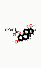 CCCCCC(=O)Oc1cc(O)cc2c1[C@H]1CC[C@]3(C)[C@H](O)CC[C@H]3[C@@H]1CC2